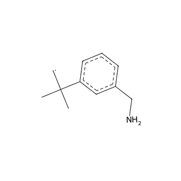 [CH2]C(C)(C)c1cccc(CN)c1